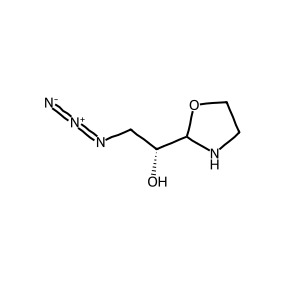 [N-]=[N+]=NC[C@@H](O)C1NCCO1